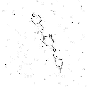 CN1CCC(COc2cnc(NCC3CCOCC3)nc2)C1